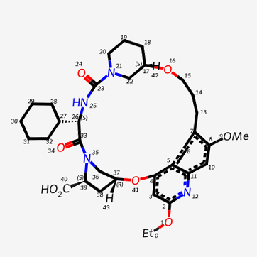 CCOc1cc2c3cc(c(OC)cc3n1)CCCO[C@H]1CCCN(C1)C(=O)N[C@@H](C1CCCCC1)C(=O)N1C[C@@H](C[C@H]1C(=O)O)O2